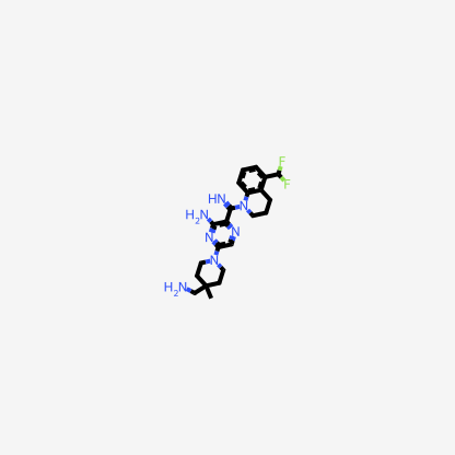 CC1(CN)CCN(c2cnc(C(=N)N3CCCc4c(C(F)F)cccc43)c(N)n2)CC1